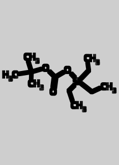 CC[Si](CC)(CC)OC(=O)OC(C)(C)C